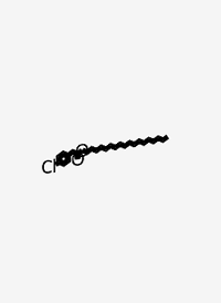 CCCCCCCCCCCCCCCCCCOC(=O)Cc1ccc(Cl)cc1